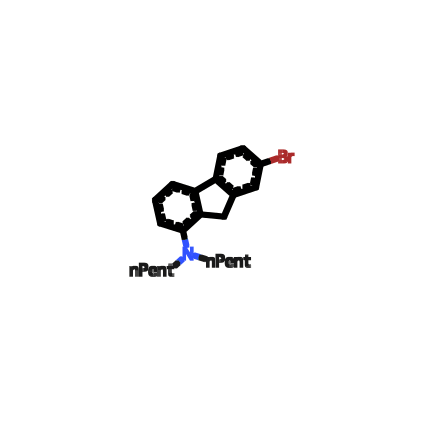 CCCCCN(CCCCC)c1cccc2c1Cc1cc(Br)ccc1-2